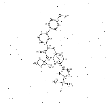 CC(C)Oc1ccc(-c2cccc(N(CC34CCC(c5noc(C(C)(C)F)n5)(CC3)CC4)C(=O)OC3(C)COC3)c2)cc1